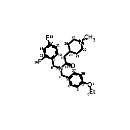 CCOc1ccc(CN(Cc2ccc(F)cc2F)C(=O)CC2CCN(C)CC2)cc1